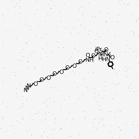 [CH2]c1ccc(NC(=O)[C@H](C)NC(=O)[C@@H](NC(=O)COCC(=O)NCCOCCOCCOCCOCCOCCOCCOCCOCCN=[N+]=[N-])C(C)C)cc1